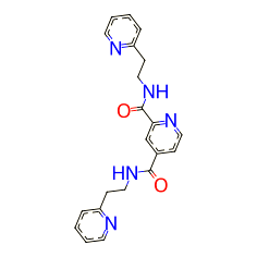 O=C(NCCc1ccccn1)c1ccnc(C(=O)NCCc2ccccn2)c1